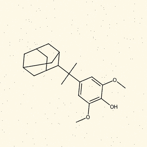 COc1cc(C(C)(C)C2C3CC4CC(C3)CC2C4)cc(OC)c1O